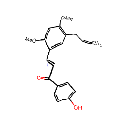 C=CCc1cc(/C=C/C(=O)c2ccc(O)cc2)c(OC)cc1OC